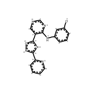 Clc1cccc(Nc2ncncc2-c2nc(-c3ccccn3)no2)c1